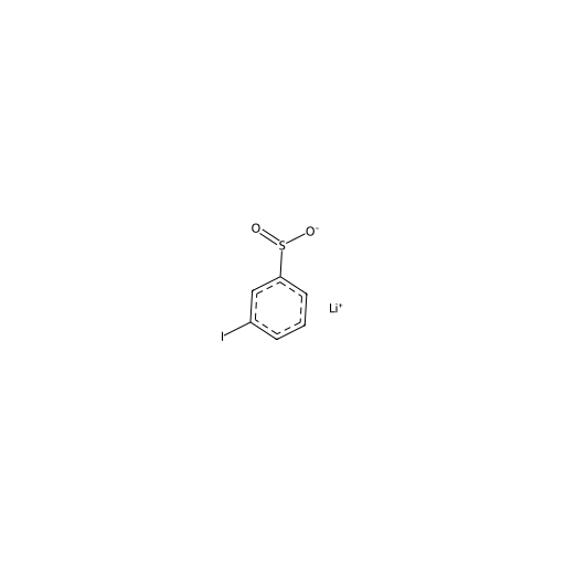 O=S([O-])c1cccc(I)c1.[Li+]